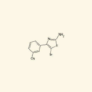 N#Cc1cccc(-c2nc(N)sc2Br)c1